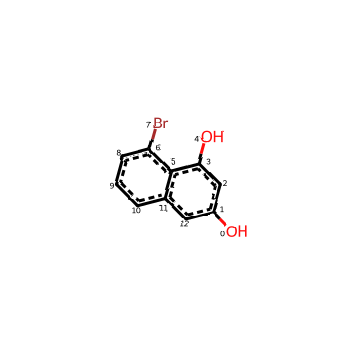 Oc1cc(O)c2c(Br)cccc2c1